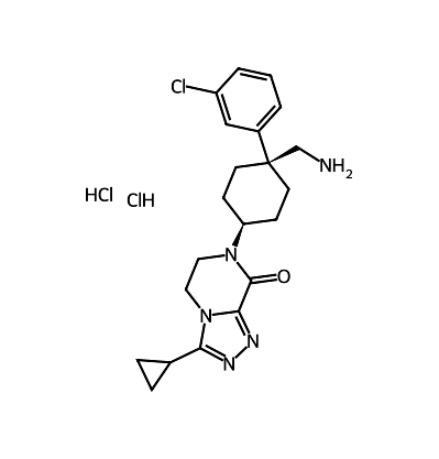 Cl.Cl.NC[C@]1(c2cccc(Cl)c2)CC[C@H](N2CCn3c(nnc3C3CC3)C2=O)CC1